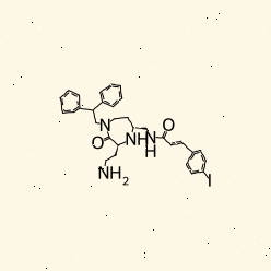 NCC[C@@H]1N[C@H](CNC(=O)/C=C/c2ccc(I)cc2)CCN(CC(c2ccccc2)c2ccccc2)C1=O